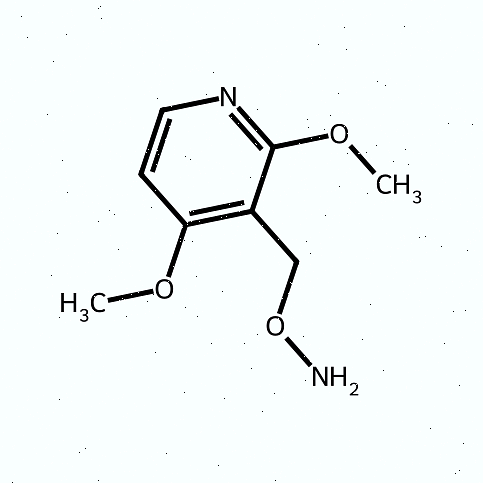 COc1ccnc(OC)c1CON